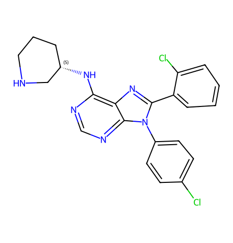 Clc1ccc(-n2c(-c3ccccc3Cl)nc3c(N[C@H]4CCCNC4)ncnc32)cc1